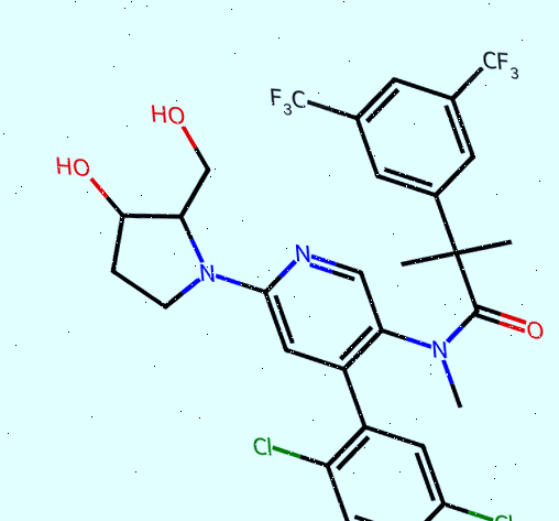 CN(C(=O)C(C)(C)c1cc(C(F)(F)F)cc(C(F)(F)F)c1)c1cnc(N2CCC(O)C2CO)cc1-c1cc(Cl)ccc1Cl